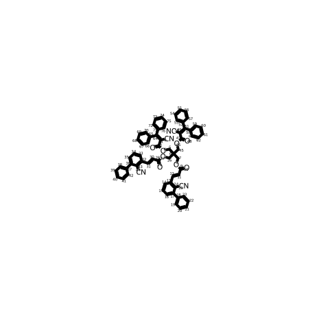 N#CC(C(=O)OCC(COC(=O)C=Cc1cccc(-c2ccccc2)c1C#N)(COC(=O)C=Cc1cccc(-c2ccccc2)c1C#N)COC(=O)C(C#N)=C(c1ccccc1)c1ccccc1)=C(c1ccccc1)c1ccccc1